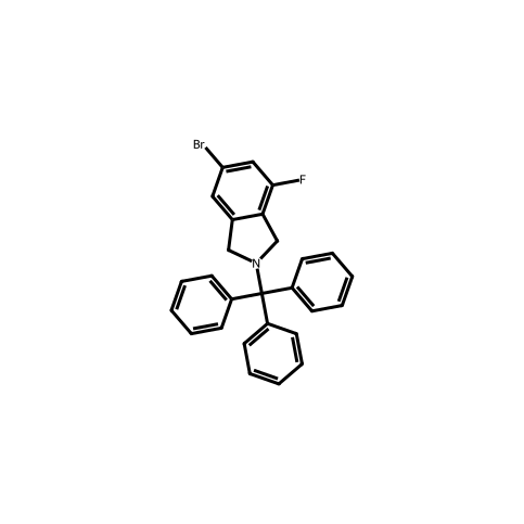 Fc1cc(Br)cc2c1CN(C(c1ccccc1)(c1ccccc1)c1ccccc1)C2